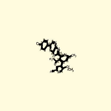 COc1cnc(C#N)cc1-c1cc(C)nc(-c2nc3ncc(-c4ccc(Cl)cc4)nc3s2)c1C(N)=O